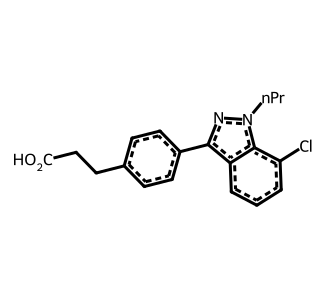 CCCn1nc(-c2ccc(CCC(=O)O)cc2)c2cccc(Cl)c21